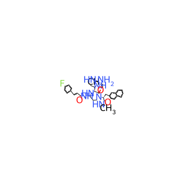 CCC(NC(=N)N)[C@@H]1N[C@@H](CNC(=O)/C=C/c2ccc(F)cc2)CCN([C@@H](Cc2ccc3ccccc3c2)C(=O)NC)C1=O